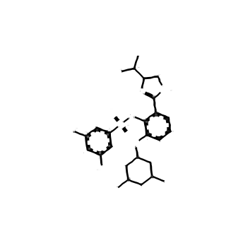 CC1CC(C)CC(Oc2cccc(C3=NC(C(C)C)CO3)c2NS(=O)(=O)c2cc(Cl)cc(Cl)c2)C1